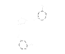 Nc1cccc(COC[C@@H]2CC[C@H](OCc3cccc(N)c3)C2)c1